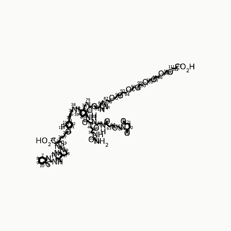 Cc1c(Nc2nc3ccccc3s2)nnc2c1CCCN2c1nc(C(=O)O)c(CCCOc2ccc(C#CC[N+](C)(C)Cc3ccc(NC(=O)[C@H](CCCNC(N)=O)NC(=O)CNC(=O)CCOCCN4C(=O)C=CC4=O)cc3CN(C)C(=O)OCc3cn(CCOCCOCCOCCOCCOCCOCCOCCOCCC(=O)O)nn3)cc2F)s1